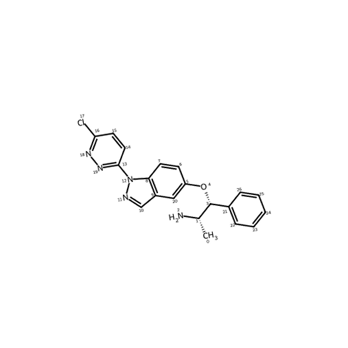 C[C@H](N)[C@H](Oc1ccc2c(cnn2-c2ccc(Cl)nn2)c1)c1ccccc1